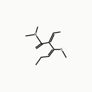 C=C(C(=C/C)/C(=C\CC)SC)N(C)C